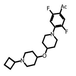 CC(=O)c1cc(F)c(N2CCC(OC3CCN(C4CCC4)CC3)CC2)cc1F